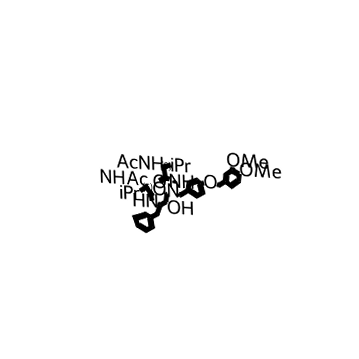 COc1ccc(COc2ccc(CN(CC(O)C(Cc3ccccc3)NC(=O)[C@@H](NC(C)=O)C(C)C)NC(=O)[C@@H](NC(C)=O)C(C)C)cc2)cc1OC